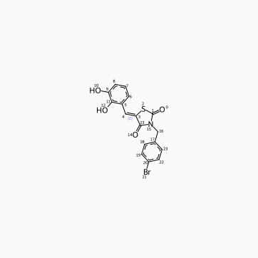 O=C1S/C(=C\c2cccc(O)c2O)C(=O)N1Cc1ccc(Br)cc1